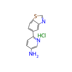 Cl.Nc1ccc(-c2ccc3scnc3c2)nc1